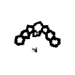 C1=C2CCC3=Cc4cc5ccccc5cc4[C]34CC[C]2([Zr]4)c2cc3ccccc3cc21.Cl.Cl